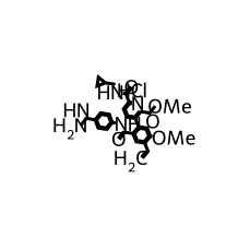 C=Cc1cc(C(=O)Nc2ccc(C(=N)N)cc2)c(-c2ccc(C(=O)NCC3CC3)nc2C(=O)OC)cc1OC.Cl